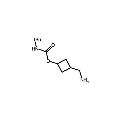 CC(C)(C)NC(=O)OC1CC(CN)C1